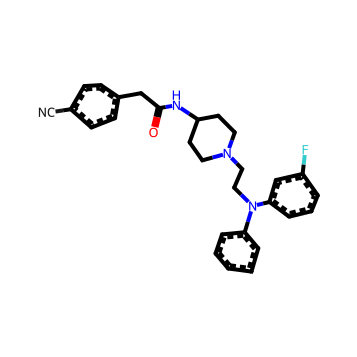 N#Cc1ccc(CC(=O)NC2CCN(CCN(c3ccccc3)c3cccc(F)c3)CC2)cc1